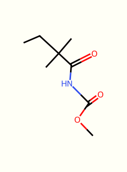 CCC(C)(C)C(=O)NC(=O)OC